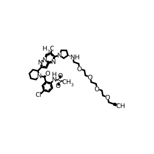 C#CCOCCOCCOCCOCCN[C@H]1CCN(c2nc3cc(C4CCCCN4C(=O)c4cc(Cl)ccc4NS(C)(=O)=O)nn3cc2C)C1